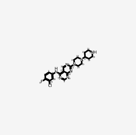 Fc1ccc(Nc2ncnc3nc(N4CCN(C5CCNCC5)CC4)ncc23)cc1Cl